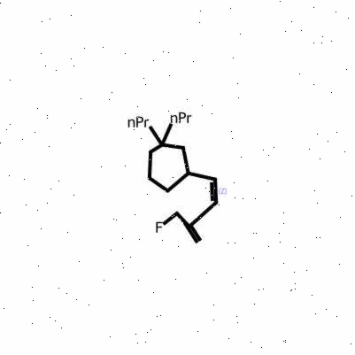 C=C(/C=C\C1CCCC(CCC)(CCC)C1)CF